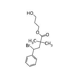 CC(C)(CC(Br)c1ccccc1)C(=O)OCCCO